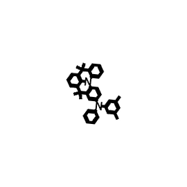 Cc1cc(C)cc(N(c2ccccc2)c2ccc3c(c2)C(C)(C)c2cccc4c2N3c2ccccc2C4(C)C)c1